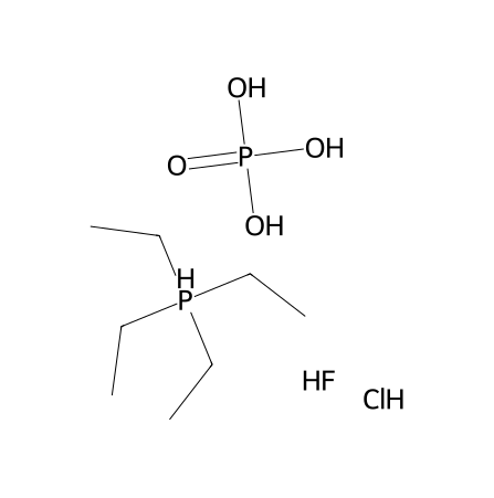 CC[PH](CC)(CC)CC.Cl.F.O=P(O)(O)O